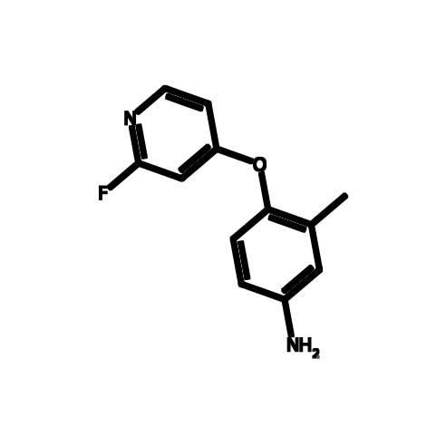 Cc1cc(N)ccc1Oc1ccnc(F)c1